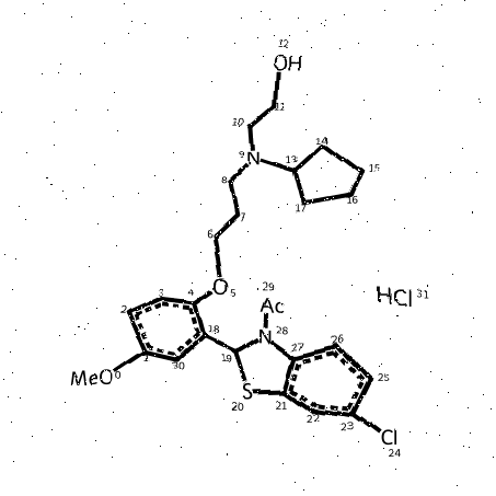 COc1ccc(OCCCN(CCO)C2CCCC2)c(C2Sc3cc(Cl)ccc3N2C(C)=O)c1.Cl